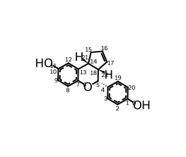 Oc1ccc([C@@H]2Oc3ccc(O)cc3[C@@H]3CC=C[C@@H]32)cc1